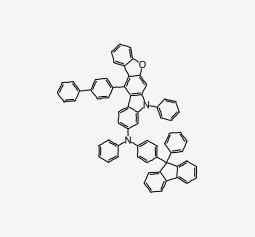 c1ccc(-c2ccc(-c3c4c(cc5c3c3ccc(N(c6ccccc6)c6ccc(C7(c8ccccc8)c8ccccc8-c8ccccc87)cc6)cc3n5-c3ccccc3)oc3ccccc34)cc2)cc1